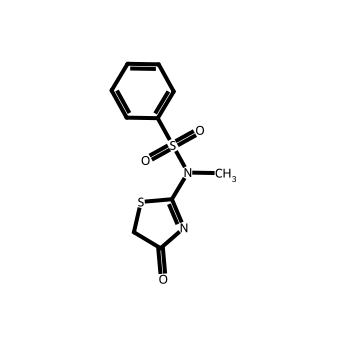 CN(C1=NC(=O)CS1)S(=O)(=O)c1ccccc1